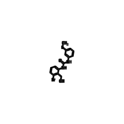 CSc1cccc(NC(=O)Nc2cccc(Br)c2CO)c1